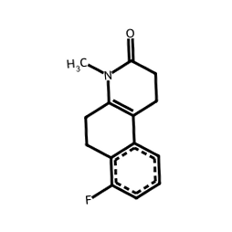 CN1C(=O)CCC2=C1CCc1c(F)cccc12